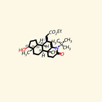 CCOC(=O)/C=C1\C=C2N([Si](C)(C)C)C(=O)CC[C@]2(C)[C@H]2CC[C@]3(C)[C@@H](O)CC[C@H]3[C@H]12